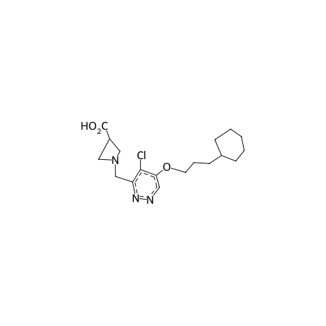 O=C(O)C1CN(Cc2nncc(OCCCC3CCCCC3)c2Cl)C1